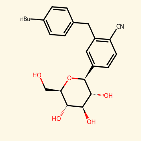 CCCCc1ccc(Cc2cc([C@@H]3O[C@H](CO)[C@@H](O)[C@H](O)[C@H]3O)ccc2C#N)cc1